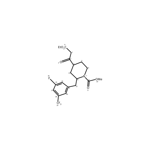 CCOC(=O)CC(=O)C1CCN(C(=O)OC)C(Cc2cc(F)cc(C(F)(F)F)c2)C1